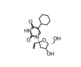 C=C[C@]1(n2cc(C3CCCCC3)c(=O)[nH]c2=O)C[C@H](O)[C@@H](CO)O1